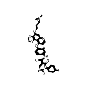 CN(C)CCCOc1cc2nccc(Oc3ccc(NC(=O)c4cn(C)c(=O)n(-c5ccc(F)cc5)c4=O)cc3F)c2c2c1OCCO2